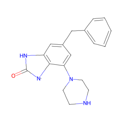 O=C1[N]c2c(cc(Cc3ccccc3)cc2N2CCNCC2)N1